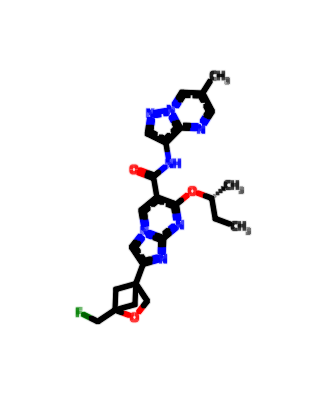 CC[C@@H](C)Oc1nc2nc(C34COC(CF)(C3)C4)cn2cc1C(=O)Nc1cnn2cc(C)cnc12